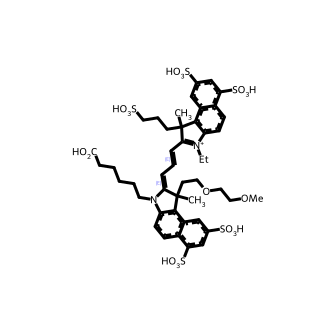 CC[N+]1=C(/C=C/C=C2/N(CCCCCC(=O)O)c3ccc4c(S(=O)(=O)O)cc(S(=O)(=O)O)cc4c3C2(C)CCOCCOC)C(C)(CCCS(=O)(=O)O)c2c1ccc1c(S(=O)(=O)O)cc(S(=O)(=O)O)cc21